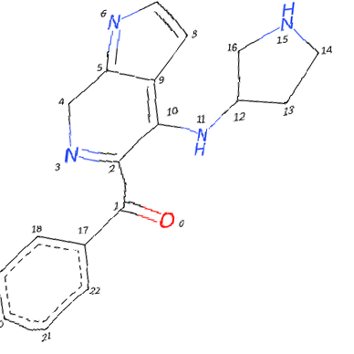 O=C(C1=NCC2=NC=CC2=C1NC1CCNC1)c1ccccc1